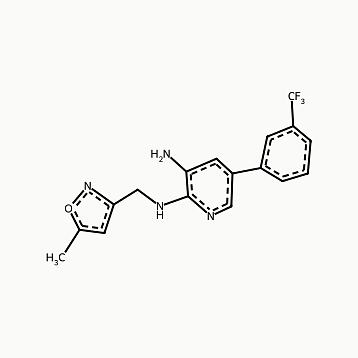 Cc1cc(CNc2ncc(-c3cccc(C(F)(F)F)c3)cc2N)no1